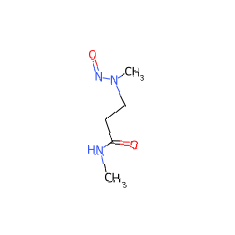 CNC(=O)CCN(C)N=O